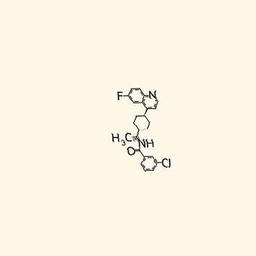 C[C@@H](NC(=O)c1cccc(Cl)c1)[C@H]1CC[C@H](c2ccnc3ccc(F)cc32)CC1